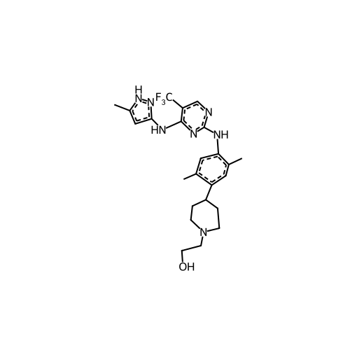 Cc1cc(Nc2nc(Nc3cc(C)c(C4CCN(CCO)CC4)cc3C)ncc2C(F)(F)F)n[nH]1